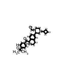 CC(C)(C)c1ccc(C(=O)C2NCCc3cc(C4CN(C5CCC5)CCN4C=O)ccc32)cc1